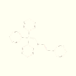 O=C(C=P(c1ccccc1)(c1ccccc1)c1ccccc1)/C=C/c1ccccc1